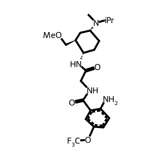 COC[C@H]1C[C@H](N(C)C(C)C)CC[C@@H]1NC(=O)CNC(=O)c1cc(OC(F)(F)F)ccc1N